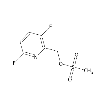 CS(=O)(=O)OCc1nc(F)ccc1F